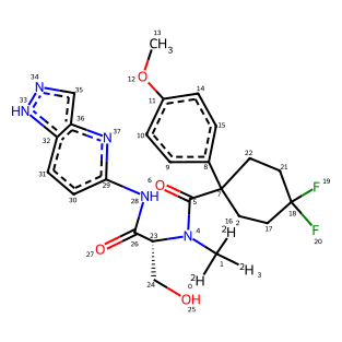 [2H]C([2H])([2H])N(C(=O)C1(c2ccc(OC)cc2)CCC(F)(F)CC1)[C@H](CO)C(=O)Nc1ccc2[nH]ncc2n1